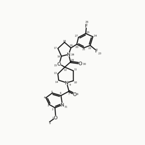 COc1cccc(C(=O)N2CCC3(CC2)OC2CCC(c4cc(F)cc(F)c4)N2C3=O)n1